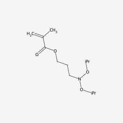 C=C(C)C(=O)OCCCN(OC(C)C)OC(C)C